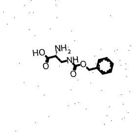 N[C@H](CNC(=O)OCc1ccccc1)C(=O)O